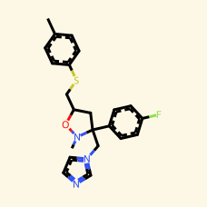 Cc1ccc(SCC2CC(Cn3ccnc3)(c3ccc(F)cc3)N(C)O2)cc1